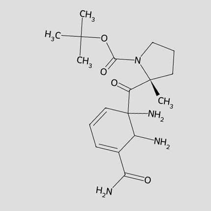 CC(C)(C)OC(=O)N1CCC[C@]1(C)C(=O)C1(N)C=CC=C(C(N)=O)C1N